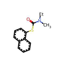 CCN(C)C(=O)Sc1cccc2ccccc12